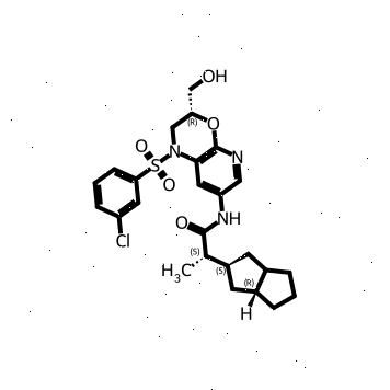 C[C@H](C(=O)Nc1cnc2c(c1)N(S(=O)(=O)c1cccc(Cl)c1)C[C@H](CO)O2)[C@H]1CC2CCC[C@@H]2C1